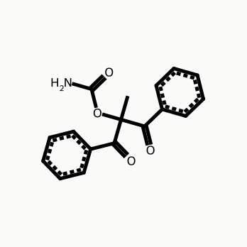 CC(OC(N)=O)(C(=O)c1ccccc1)C(=O)c1ccccc1